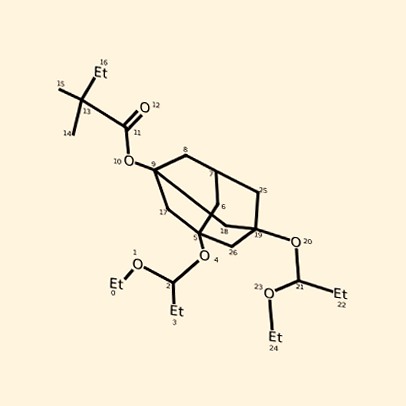 CCOC(CC)OC12CC3CC(OC(=O)C(C)(C)CC)(C1)CC(OC(CC)OCC)(C3)C2